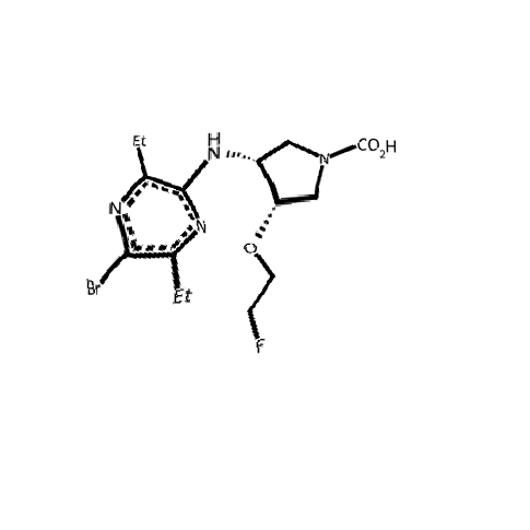 CCc1nc(N[C@@H]2CN(C(=O)O)C[C@@H]2OCCF)c(CC)nc1Br